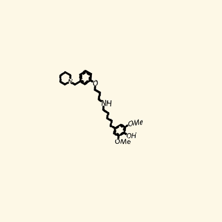 COc1cc(CCCCCNCCCOc2cccc(CN3CCCCC3)c2)cc(OC)c1O